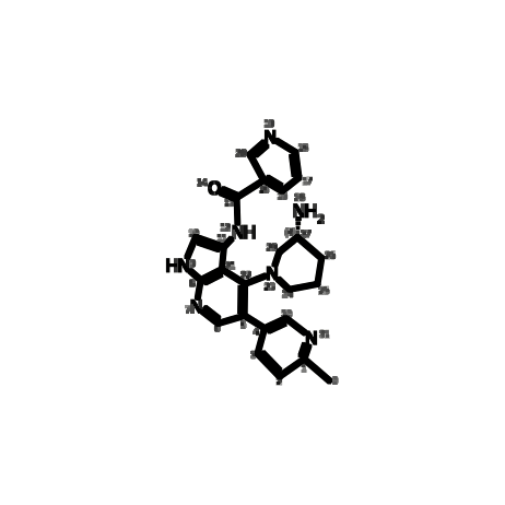 Cc1ccc(-c2cnc3[nH]cc(NC(=O)c4cccnc4)c3c2N2CCC[C@@H](N)C2)cn1